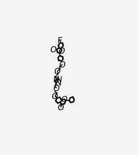 O=c1cc(-c2ccccc2)oc2cc(OCCOCc3cn(CCOCCOc4ccc(-c5cc(=O)c6cc(F)ccc6o5)cc4)nn3)ccc12